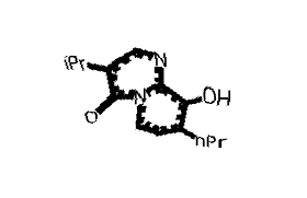 CCCc1ccn2c(=O)c(C(C)C)cnc2c1O